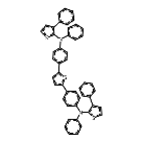 c1ccc(-c2ccsc2N(c2ccccc2)c2ccc(-c3ccc(-c4ccc(N(c5ccccc5)c5sccc5-c5ccccc5)cc4)s3)cc2)cc1